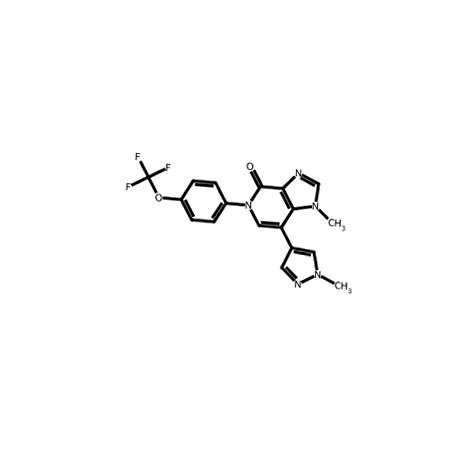 Cn1cc(-c2cn(-c3ccc(OC(F)(F)F)cc3)c(=O)c3ncn(C)c23)cn1